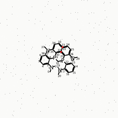 CN(C)c1ccccc1P(CP(c1ccccc1N(C)C)c1ccccc1N(C)C)c1ccccc1N(C)C